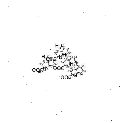 Cc1cccc2nc(C(=O)[O-])ccc12.Cc1cccc2nc(C(=O)[O-])ccc12.Cc1cccc2nc(C(=O)[O-])ccc12.Cc1cccc2nc(C(=O)[O-])ccc12.[Zr+4]